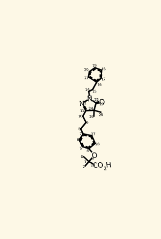 CC(C)(Oc1ccc(CCCC2=NN(CCc3ccccc3)C(=O)C2(C)C)cc1)C(=O)O